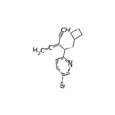 C#CC(=C=C)C(CC1CCC1)c1ccc(Br)cn1